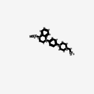 O=C(O)N1CCN(c2ccc(N3CCN(CC(F)(F)F)CC3)cc2)c2ccccc21